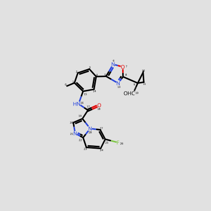 Cc1ccc(-c2noc(C3(C=O)CC3)n2)cc1NC(=O)c1cnc2ccc(F)cn12